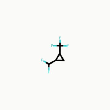 FC(F)[C]1CC1C(F)(F)F